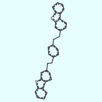 c1ccc2c(c1)sc1cc(CCc3ccc(CCc4ccc5c(c4)sc4ccccc45)cc3)ccc12